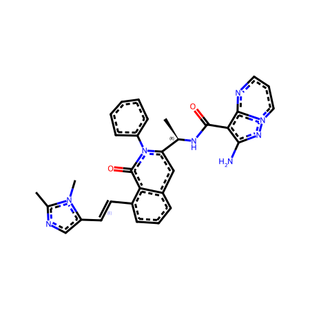 Cc1ncc(/C=C/c2cccc3cc([C@@H](C)NC(=O)c4c(N)nn5cccnc45)n(-c4ccccc4)c(=O)c23)n1C